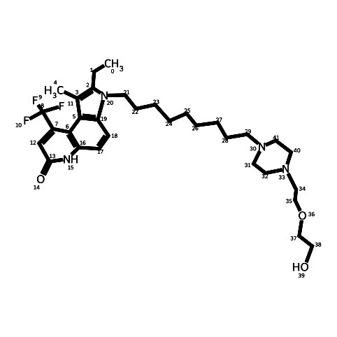 CCc1c(C)c2c3c(C(F)(F)F)cc(=O)[nH]c3ccc2n1CCCCCCCCCN1CCN(CCOCCO)CC1